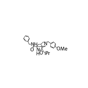 COc1ccc(CN2CC3CC4(C(=O)NCc5ccccc5)NC(=O)C3C2C4CC(C)C)cc1